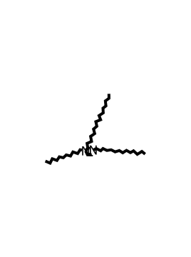 CCCCCCCCCCCCCCCC1N(CCCCCCCCCCC)C=CN1CCCCCCCCCCCCCC